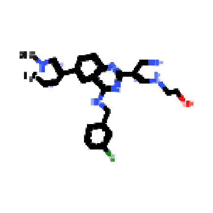 C/C=C\C(=C/NC=O)c1ccc2nc(/C(C=N)=C/NCCO)nc(NCc3cccc(Cl)c3)c2c1